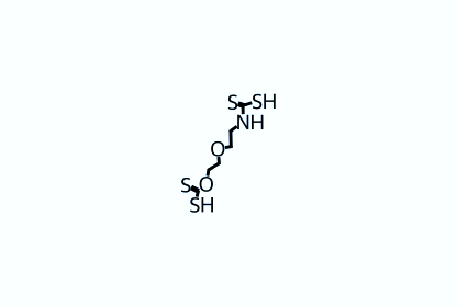 S=C(S)NCCOCCOC(=S)S